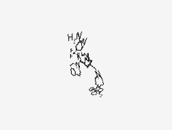 CS(=O)(=O)N1CCN(Cc2cc3c(N4CCOCC4)nc(-c4cnc(N)cc4C(F)(F)F)nn3c2)CC1